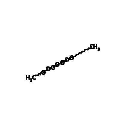 CCCC[CH]COCCOCCOCCOCCOCCOCCOCCCCCCCCCCCCC